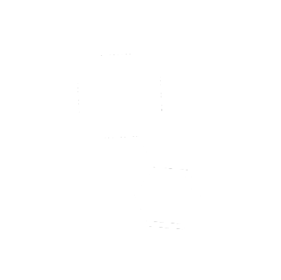 C1=C(c2ccccc2)CCCCCC1